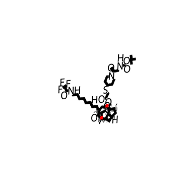 CO[C@@H]1CC[C@@]23C[C@@H]4C[C@@H](C)[C@@](C)([C@H](OC(O)CSC5CCN(C(=O)CNC(=O)OC(C)(C)C)CC5)C[C@](C)(CCCCCCCCNC(=O)C(F)(F)F)C(=O)[C@@H]2C)[C@]413